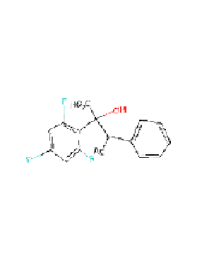 CC(=O)C(c1ccccc1)C(O)(C(=O)O)c1c(F)cc(F)cc1F